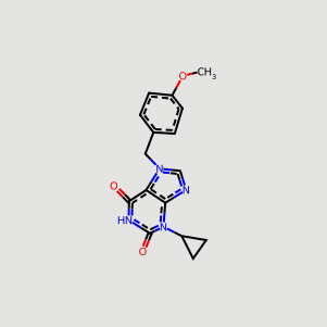 COc1ccc(Cn2cnc3c2c(=O)[nH]c(=O)n3C2CC2)cc1